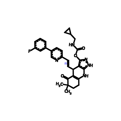 CC1(C)CCC2=C(C1=O)C(/C=C/c1ccc(-c3cccc(F)c3)cn1)c1c(OC(=O)NCC3CC3)n[nH]c1N2